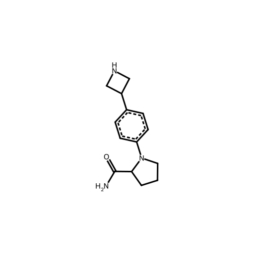 NC(=O)C1CCCN1c1ccc(C2CNC2)cc1